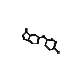 Clc1ccc(Oc2ccc3cc[nH]c3c2)nn1